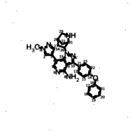 Cn1cc(-c2cnc(N)c3c(-c4ccc(Oc5ccccc5)cc4)nn(C4CC5CNC4C5)c23)cn1